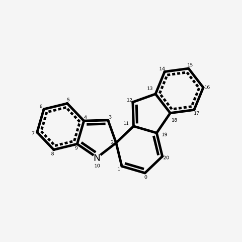 C1=CC2(C=c3ccccc3=N2)C2=Cc3ccccc3C2=C1